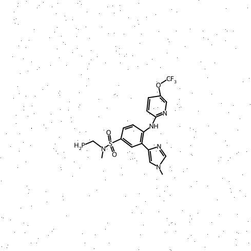 CN(CP)S(=O)(=O)c1ccc(Nc2ccc(OC(F)(F)F)cn2)c(-c2cn(C)cn2)c1